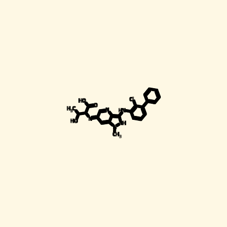 CC(O)C(N=c1cnc2c(Nc3cccc(-c4ccccc4)c3Cl)[nH]n(C)c-2c1)C(=O)O